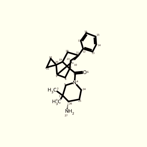 CC1(C)CN(C(=O)C23CC4CC(c5ccccc5)(CC2C42CC2)C3)CC[C@@H]1N